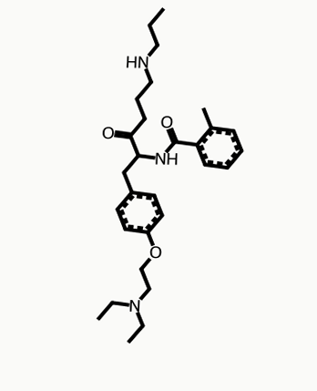 CCCNCCCC(=O)C(Cc1ccc(OCCN(CC)CC)cc1)NC(=O)c1ccccc1C